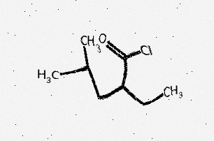 CCC(CC(C)C)C(=O)Cl